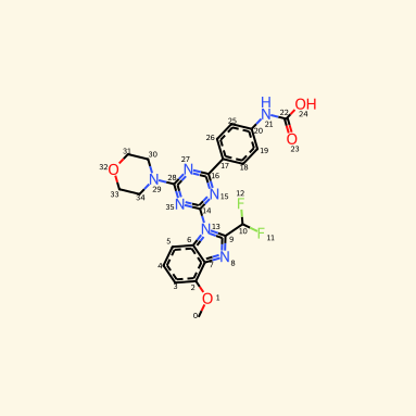 COc1cccc2c1nc(C(F)F)n2-c1nc(-c2ccc(NC(=O)O)cc2)nc(N2CCOCC2)n1